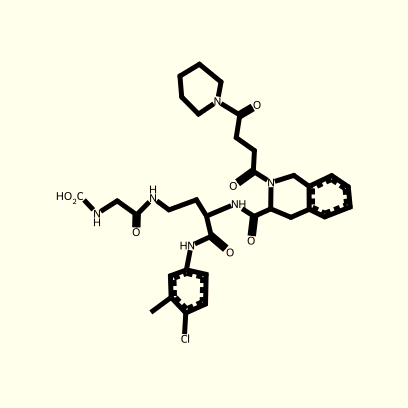 Cc1cc(NC(=O)C(CCNC(=O)CNC(=O)O)NC(=O)C2Cc3ccccc3CN2C(=O)CCC(=O)N2CCCCC2)ccc1Cl